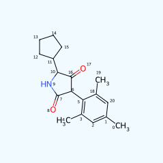 Cc1cc(C)c(C2C(=O)NC(C3CCCC3)C2=O)c(C)c1